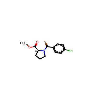 COC(=O)[C@@H]1CCCN1C(=S)c1ccc(Cl)cc1